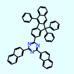 c1ccc(-c2c3c(cc4ccccc24)C(c2ccccc2)(c2ccccc2)c2cc(-c4nc(-c5ccc6ccccc6c5)nc(-c5ccc6ccccc6c5)n4)ccc2-3)cc1